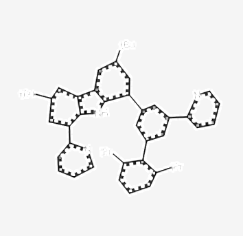 CC(C)c1cccc(C(C)C)c1-c1cc(-c2ccccn2)cc(-c2cc(C(C)(C)C)cc3c2[nH]c2c(-c4ccccn4)cc(C(C)(C)C)cc23)c1